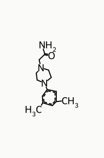 Cc1cc(C)cc(N2CCN(CC(N)=O)CC2)c1